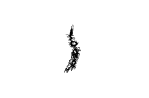 C=CCCC[C@H]1CC[C@H](c2cc(F)c(C(F)(F)Oc3cc(F)c(C#N)c(F)c3)c(F)c2)CC1